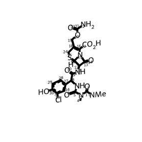 CNC(=O)N(C)C(=O)NC(C(=O)NC1C(=O)N2C(C(=O)O)=C(COC(N)=O)CS[C@@H]12)c1ccc(O)c(Cl)c1